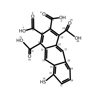 O=C(O)c1c(C(=O)O)c(C(=O)O)c2cc3c(S)cccc3cc2c1C(=O)O